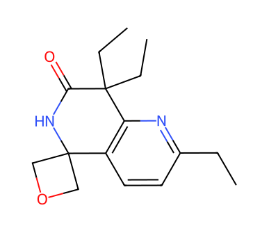 CCc1ccc2c(n1)C(CC)(CC)C(=O)NC21COC1